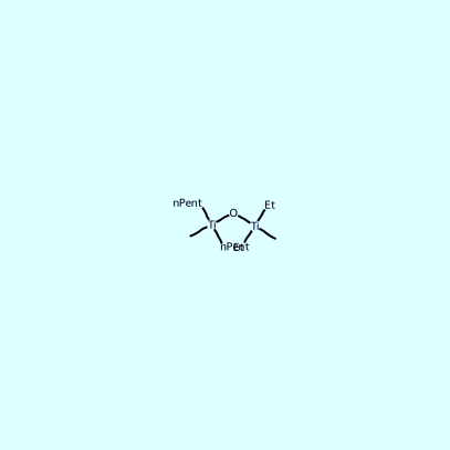 CCCC[CH2][Ti]([CH3])([CH2]CCCC)[O][Ti]([CH3])([CH2]C)[CH2]C